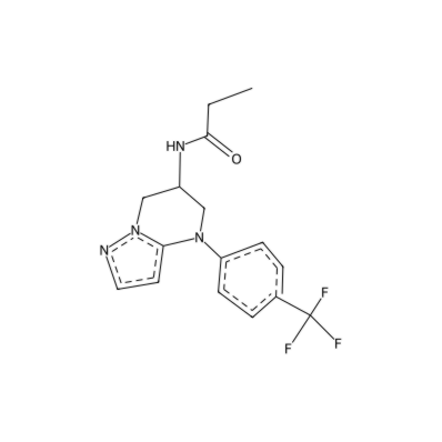 CCC(=O)NC1CN(c2ccc(C(F)(F)F)cc2)c2ccnn2C1